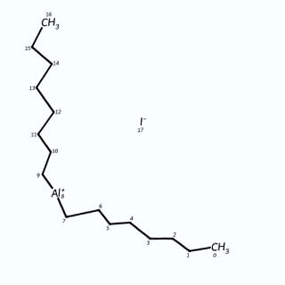 CCCCCCC[CH2][Al+][CH2]CCCCCCC.[I-]